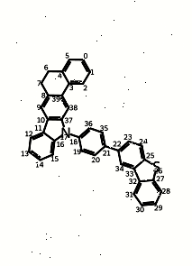 c1ccc2c(c1)CCc1cc3c4ccccc4n(-c4ccc(-c5ccc6sc7ccccc7c6c5)cc4)c3cc1-2